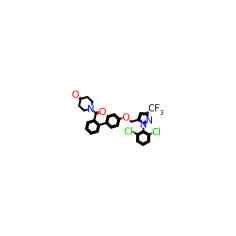 O=C1CCN(C(=O)c2ccccc2-c2ccc(OCc3cc(C(F)(F)F)nn3-c3c(Cl)cccc3Cl)cc2)CC1